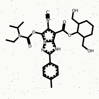 [C-]#[N+]c1c(C(=O)OC2C(CO)CCCC2CO)c2[nH]c(-c3ccc(C)cc3)nn2c1OC(=O)N(CC)C(C)C